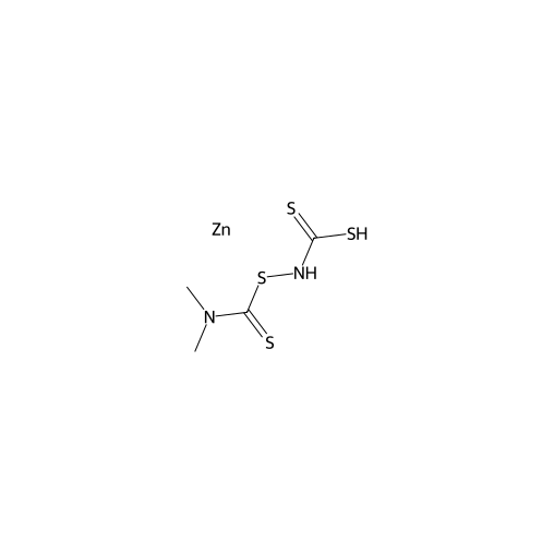 CN(C)C(=S)SNC(=S)S.[Zn]